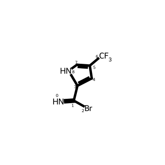 N=C(Br)c1cc(C(F)(F)F)c[nH]1